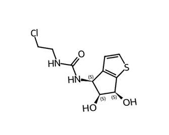 O=C(NCCCl)N[C@H]1c2ccsc2[C@@H](O)[C@H]1O